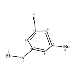 CCSc1cc(F)cc(C(C)(C)C)c1